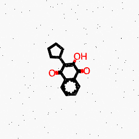 O=C1C(O)=C(C2CCCC2)C(=O)c2ccccc21